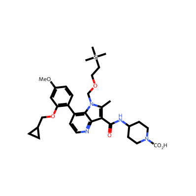 COc1ccc(-c2ccnc3c(C(=O)NC4CCN(C(=O)O)CC4)c(C)n(COCC[Si](C)(C)C)c23)c(OCC2CC2)c1